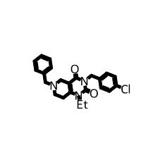 CCn1c2c(c(=O)n(Cc3ccc(Cl)cc3)c1=O)CN(Cc1ccccc1)CC2